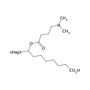 CCCCCCCC(CCCCCCC(=O)O)OC(=O)CCCN(C)C